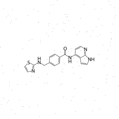 O=C(Nc1ccnc2[nH]ccc12)c1ccc(CNc2nccs2)cc1